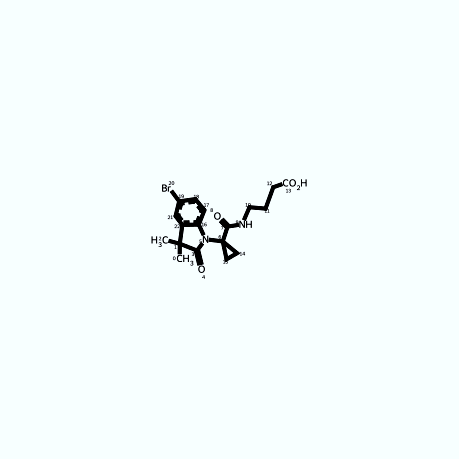 CC1(C)C(=O)N(C2(C(=O)NCCCC(=O)O)CC2)c2ccc(Br)cc21